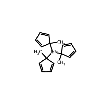 C[C]1([In-2]([C]2(C)C=CC=C2)[C]2(C)C=CC=C2)C=CC=C1